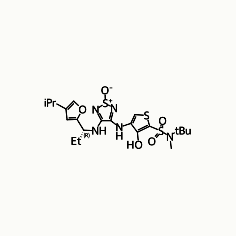 CC[C@@H](Nc1n[s+]([O-])nc1Nc1csc(S(=O)(=O)N(C)C(C)(C)C)c1O)c1cc(C(C)C)co1